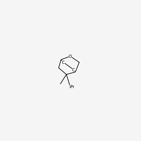 CC(C)C1(C)CC2CCC1CO2